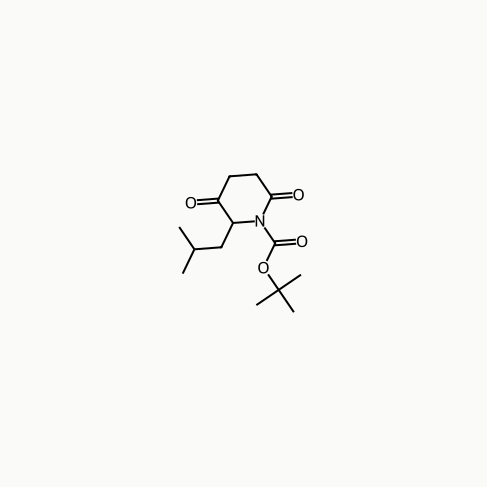 CC(C)CC1C(=O)CCC(=O)N1C(=O)OC(C)(C)C